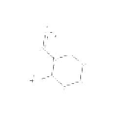 C=CN1CCCCC1O